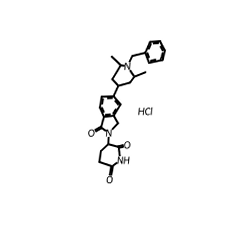 CC1CC(c2ccc3c(c2)CN(C2CCC(=O)NC2=O)C3=O)CC(C)N1Cc1ccccc1.Cl